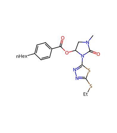 CCCCCCc1ccc(C(=O)OC2CN(C)C(=O)N2c2nnc(SCC)s2)cc1